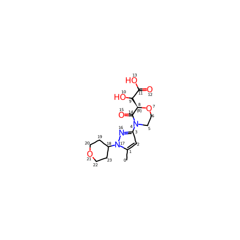 Cc1cc(N2CCO[C@H](C(O)C(=O)O)C2=O)nn1C1CCOCC1